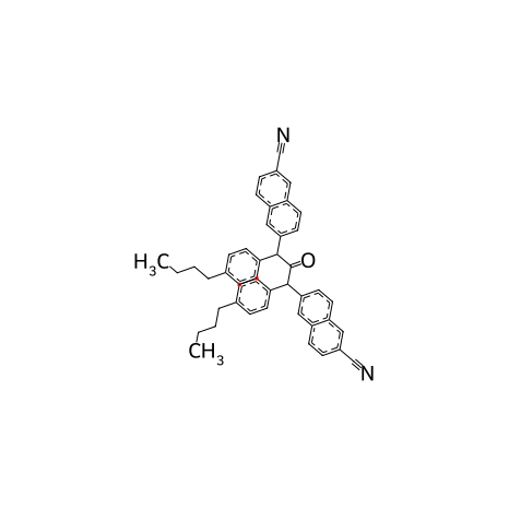 CCCCc1ccc(C(C(=O)C(c2ccc(CCCC)cc2)c2ccc3cc(C#N)ccc3c2)c2ccc3cc(C#N)ccc3c2)cc1